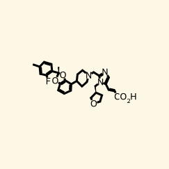 Cc1ccc([C@@]2(C)Oc3cccc(C4CCN(Cc5ncc(/C=C/C(=O)O)n5C[C@H]5CCOC5)CC4)c3O2)c(F)c1